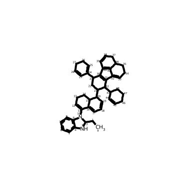 CCC1Nc2ccccc2N1C1=CCCC2C1=CC=CC2C1CC(C2=CCCC=C2)C2=C(C3=CCCC4CC=CC2=C34)C1C1C=CCCC1